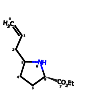 C=CCC1CC[C@@H](C(=O)OCC)N1